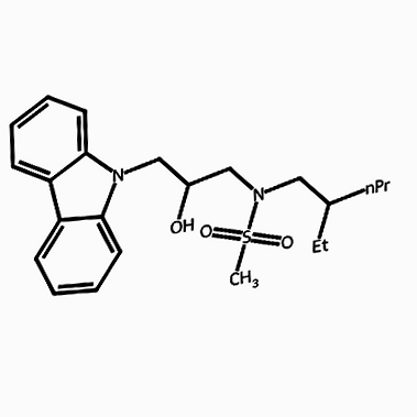 CCCC(CC)CN(CC(O)Cn1c2ccccc2c2ccccc21)S(C)(=O)=O